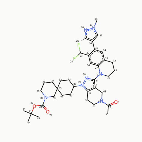 CC(=O)N1CCc2c(c(N3CCCc4cc(-c5cnn(C)c5)c(C(F)F)cc43)nn2C2CCC3(CCCN(C(=O)OC(C)(C)C)C3)CC2)C1